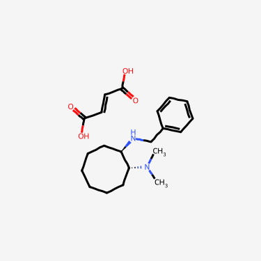 CN(C)[C@@H]1CCCCCC[C@H]1NCc1ccccc1.O=C(O)C=CC(=O)O